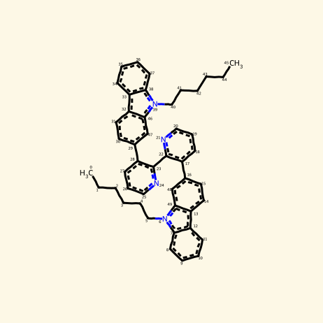 CCCCCCn1c2ccccc2c2ccc(-c3cccnc3-c3ncccc3-c3ccc4c5ccccc5n(CCCCCC)c4c3)cc21